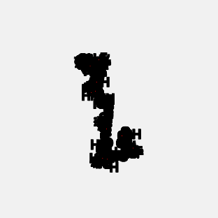 CC[C@@]1(O)C(=O)OCc2c1cc1n(c2=O)Cc2c-1nc1cc(F)c(C)c3c1c2[C@@H](NC(=O)COCNC(=O)CNC(=O)[C@H](Cc1ccccc1)NC(=O)CNC(=O)CNC(=O)CCOCCOCCN(CCOCCOCC(C=O)NCC(=O)NCC(=O)N[C@@H](Cc1ccccc1)C(=O)NCC(=O)NCOCC(=O)N[C@H]1CCc2c(C)c(F)cc4nc5c(c1c24)Cn1c-5cc2c(c1=O)COC(=O)[C@]2(O)CC)N1C(=O)C=CC1=O)CC3